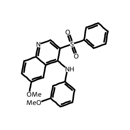 COc1cccc(Nc2c(S(=O)(=O)c3ccccc3)cnc3ccc(OC)cc23)c1